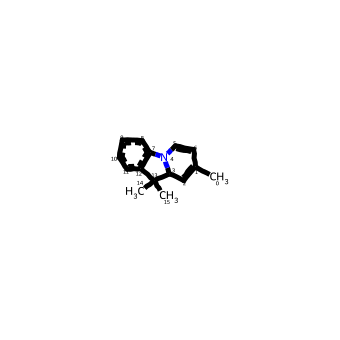 CC1=CC2N(C=C1)c1ccccc1C2(C)C